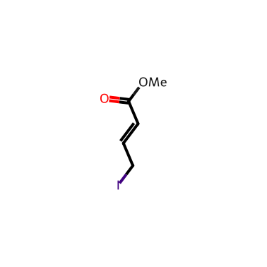 COC(=O)/C=C/CI